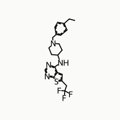 CCc1ccc(CN2CCC(Nc3ncnc4sc(CC(F)(F)F)cc34)CC2)cc1